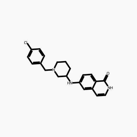 O=c1[nH]ccc2cc(NC3CCCN(Cc4ccc(Cl)cc4)C3)ccc12